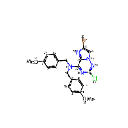 COc1ccc(CN(Cc2ccc(OC)cc2)c2nc(Cl)nn3cc(Br)nc23)cc1